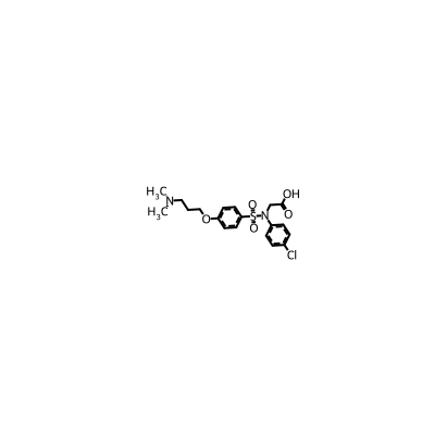 CN(C)CCCOc1ccc(S(=O)(=O)N(CC(=O)O)c2ccc(Cl)cc2)cc1